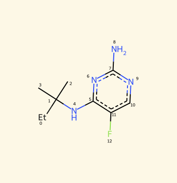 CCC(C)(C)Nc1nc(N)ncc1F